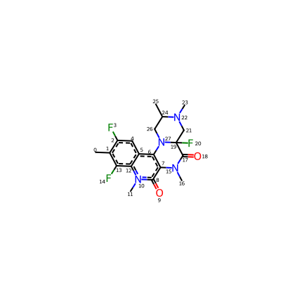 Cc1c(F)cc2c3c(c(=O)n(C)c2c1F)N(C)C(=O)C1(F)CN(C)C(C)CN31